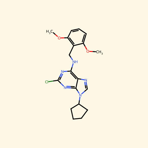 COc1cccc(OC)c1CNc1nc(Cl)nc2c1ncn2C1CCCC1